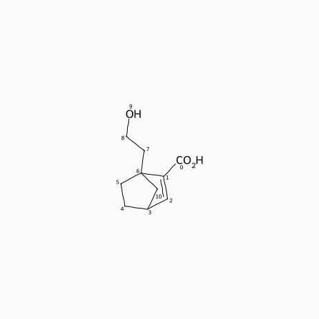 O=C(O)C1=CC2CCC1(CCO)C2